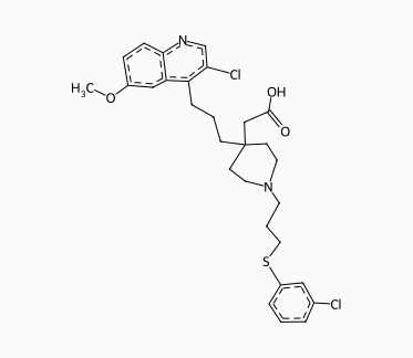 COc1ccc2ncc(Cl)c(CCCC3(CC(=O)O)CCN(CCCSc4cccc(Cl)c4)CC3)c2c1